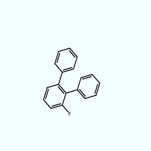 Fc1cc[c]c(-c2ccccc2)c1-c1ccccc1